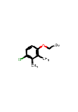 Cc1c(Cl)ccc(OCC(C)(C)C)c1C